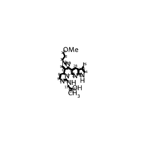 COCCCn1cc(-c2ccnc(NC[C@H](C)O)n2)c(-c2cnc3[nH]cc(I)c3c2)n1